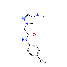 Nc1cnn(CC(=O)Nc2ccc(C(F)(F)F)cc2)c1